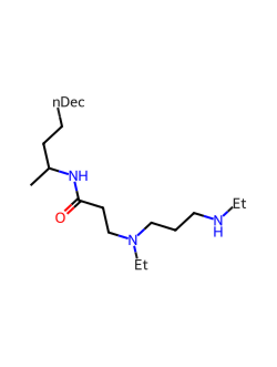 CCCCCCCCCCCCC(C)NC(=O)CCN(CC)CCCNCC